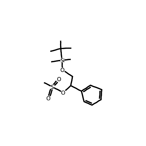 CC(C)(C)[Si](C)(C)OCC(OS(C)(=O)=O)c1ccccc1